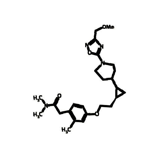 COCc1noc(N2CCC(C3C[C@H]3CCOc3ccc(CC(=O)N(C)C)c(C)c3)CC2)n1